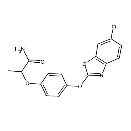 CC(Oc1ccc(Oc2nc3ccc(Cl)cc3o2)cc1)C(N)=O